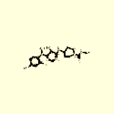 CCCc1ccc(N(N)c2ncnc(OC3CCN(C(=O)OC(C)C)CC3)c2C#N)c(F)c1